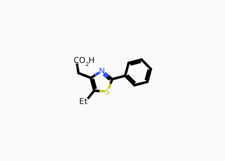 CCc1sc(-c2ccccc2)nc1CC(=O)O